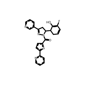 O=C(c1ccc(-c2ccccn2)s1)N1N=C(c2cccnc2)CC1C1CC=CC(F)=C1O